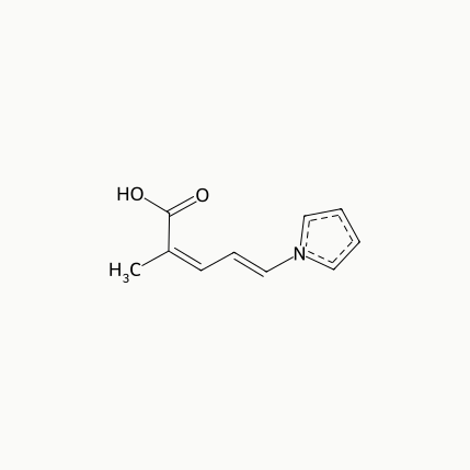 CC(=CC=Cn1cccc1)C(=O)O